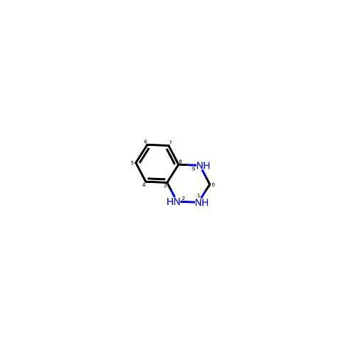 [CH]1NNc2ccccc2N1